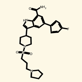 NC(=O)c1cc(-c2ccc(F)cc2)cc2c(C3CCN(S(=O)(=O)CCCN4CCCC4)CC3)c[nH]c12